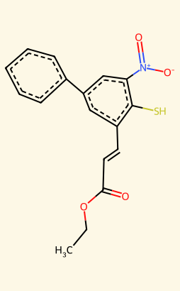 CCOC(=O)C=Cc1cc(-c2ccccc2)cc([N+](=O)[O-])c1S